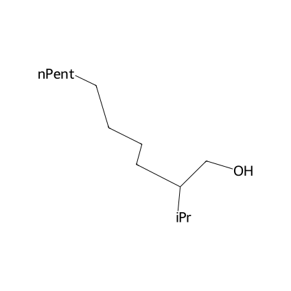 CCCCCCCCCC(CO)C(C)C